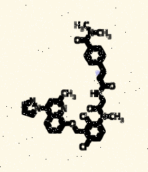 Cc1cc(-n2cccn2)c2cccc(OCc3c(Cl)ccc(N(C)C(=O)CNC(=O)/C=C/c4ccc(C(=O)N(C)C)cc4)c3Cl)c2n1